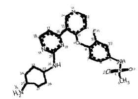 CS(=O)(=O)Nc1ccc(Oc2ccncc2-c2ccnc(NC3CCC(N)CC3)n2)c(F)c1